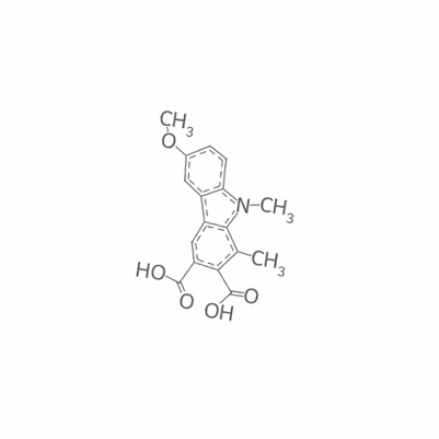 COc1ccc2c(c1)c1cc(C(=O)O)c(C(=O)O)c(C)c1n2C